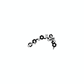 O=C(NCc1cccc(OCc2ccc(N3CCOCC3)nc2)c1)[C@@H]1CCCN1S(=O)(=O)c1cc2cc(F)ccc2o1